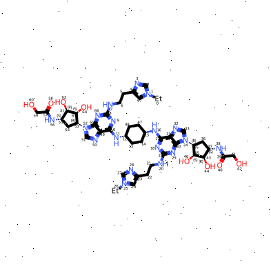 CCn1cnc(CCNc2nc(N[C@H]3CC[C@H](Nc4nc(NCCc5cn(CC)cn5)nc5c4ncn5[C@@H]4C[C@H](NC(=O)CO)[C@@H](O)[C@H]4O)CC3)c3ncn([C@@H]4C[C@H](NC(=O)CO)[C@@H](O)[C@H]4O)c3n2)c1